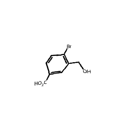 O=C(O)c1ccc(Br)c(CO)c1